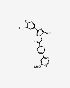 CCCc1cc(-c2ccc(F)c(C)c2)nn1CC(=O)N1CC=C(c2cc(OC)ncn2)CC1